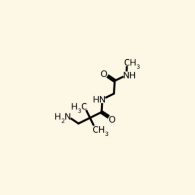 CNC(=O)CNC(=O)C(C)(C)CN